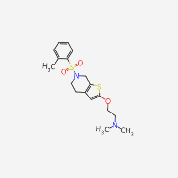 Cc1ccccc1S(=O)(=O)N1CCc2cc(OCCN(C)C)sc2C1